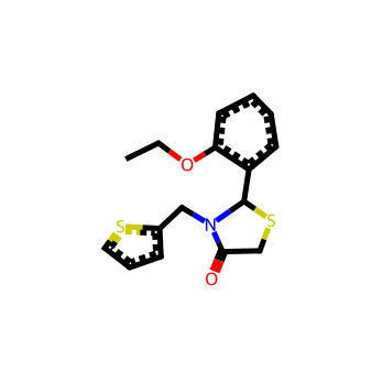 CCOc1ccccc1C1SCC(=O)N1Cc1cccs1